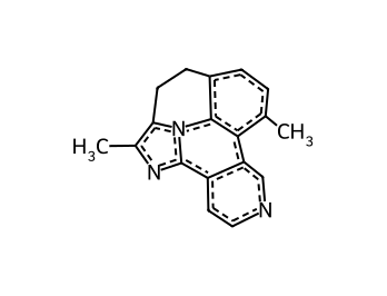 Cc1nc2c3ccncc3c3c(C)ccc4c3n2c1CC4